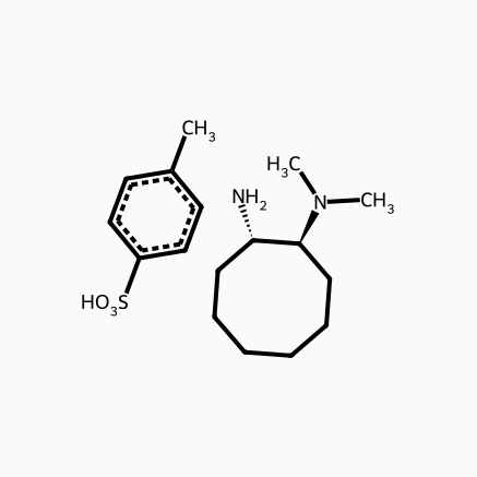 CN(C)[C@H]1CCCCCC[C@@H]1N.Cc1ccc(S(=O)(=O)O)cc1